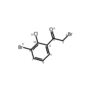 O=C(CBr)c1cccc(Br)c1Cl